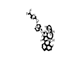 C#Cc1c(F)ccc2cccc(-c3nc4c5c(nc(OC[C@@]67CCCN6[C@H](COc6cnc(C(F)F)cn6)CC7)nc5c3F)N3C[C@H]5CC[C@H](N5)[C@H]3CCC4)c12